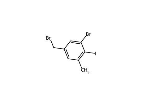 Cc1cc(CBr)cc(Br)c1I